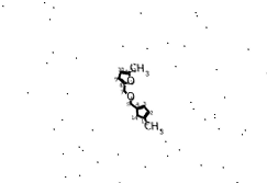 CC1=CC=C(COCc2ccc(C)o2)C1